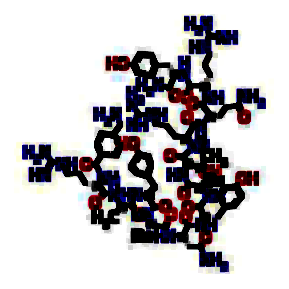 CC[C@H](C)[C@H](NC(=O)[C@H](Cc1ccc(O)cc1)NC(=O)[C@H](C)NC(=O)[C@H](CCCNC(=N)N)NC(=O)c1ccc(CN)cc1)C(=O)N[C@@H](CC(N)=O)C(=O)N[C@@H](Cc1ccc(O)cc1)C(=O)N[C@H](C(=O)N[C@H](C(=O)N[C@@H](CCCNC(=N)N)C(=O)N[C@@H](CCC(N)=O)C(=O)N[C@@H](CCCNC(=N)N)C(=O)N[C@@H](Cc1ccc(O)cc1)C(N)=O)[C@@H](C)O)[C@@H](C)CC